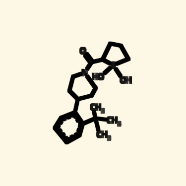 CC(C)(C)c1ccccc1C1CCN(C(=O)C2CCCS2(O)O)CC1